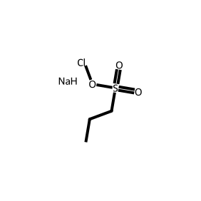 CCCS(=O)(=O)OCl.[NaH]